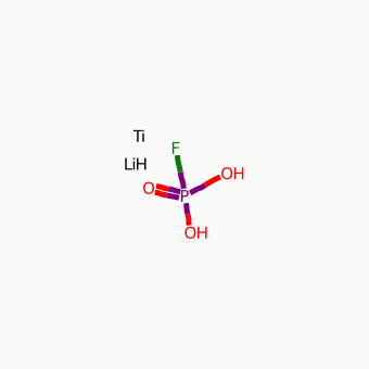 O=P(O)(O)F.[LiH].[Ti]